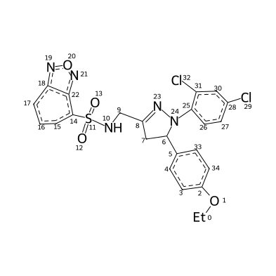 CCOc1ccc(C2CC(CNS(=O)(=O)c3cccc4nonc34)=NN2c2ccc(Cl)cc2Cl)cc1